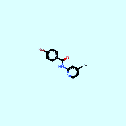 CC(C)c1ccnc(NC(=O)c2ccc(Br)cc2)c1